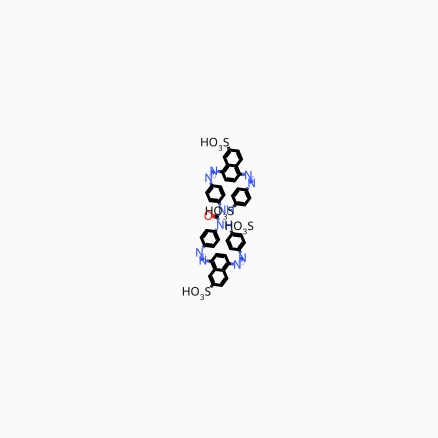 O=C(Nc1ccc(/N=N\c2ccc(/N=N\c3ccc(S(=O)(=O)O)cc3)c3ccc(S(=O)(=O)O)cc23)cc1)Nc1ccc(/N=N\c2ccc(/N=N\c3ccc(S(=O)(=O)O)cc3)c3ccc(S(=O)(=O)O)cc23)cc1